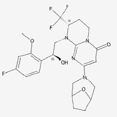 COc1cc(F)ccc1[C@H](O)CN1c2nc(N3CC4CCC(C3)O4)cc(=O)n2CC[C@H]1C(F)(F)F